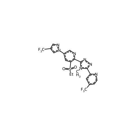 CCS(=O)(=O)c1cc(-n2cc(C(F)(F)F)cn2)cnc1-c1nnc(-c2cc(C(F)(F)F)ccn2)n1C